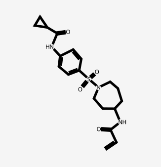 C=CC(=O)NC1CCCN(S(=O)(=O)c2ccc(NC(=O)C3CC3)cc2)CC1